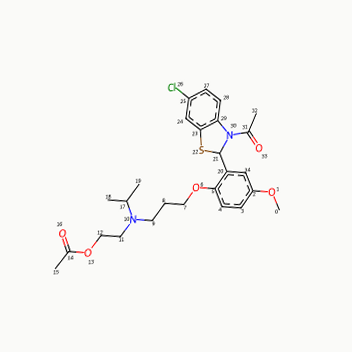 COc1ccc(OCCCN(CCOC(C)=O)C(C)C)c(C2Sc3cc(Cl)ccc3N2C(C)=O)c1